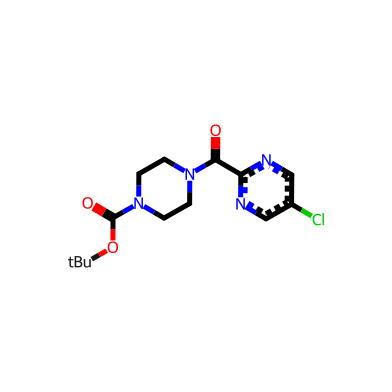 CC(C)(C)OC(=O)N1CCN(C(=O)c2ncc(Cl)cn2)CC1